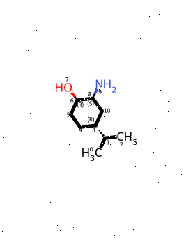 CC(C)[C@@H]1CC[C@@H](O)[C@@H](N)C1